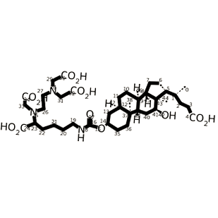 C[C@H](CCC(=O)O)[C@H]1CC[C@H]2[C@@H]3CC[C@@H]4C[C@H](OC(=O)NCCCCC(C(=O)O)N(CCN(CC(=O)O)CC(=O)O)CC(=O)O)CC[C@]4(C)[C@H]3C[C@H](O)[C@]12C